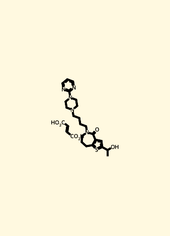 CC(O)c1cc2c(s1)CCCN(CCCCN1CCN(c3ncccn3)CC1)C2=O.O=C(O)C=CC(=O)O